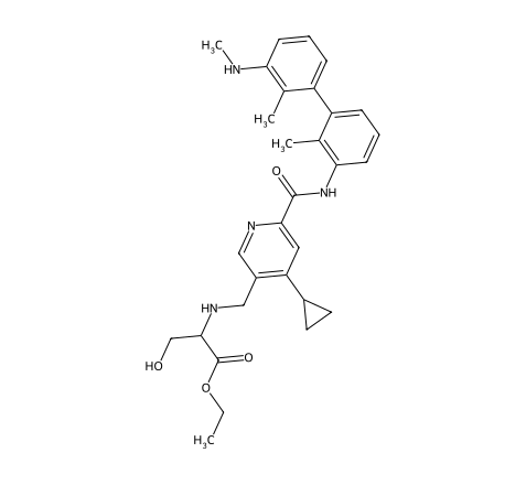 CCOC(=O)C(CO)NCc1cnc(C(=O)Nc2cccc(-c3cccc(NC)c3C)c2C)cc1C1CC1